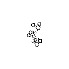 O=C(O)[C@@H]1C[C@@H](S(=O)(=O)c2ccccc2Cl)C[C@H]1OCc1ccc(Cl)c(Cl)c1